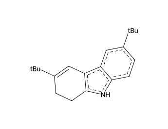 CC(C)(C)C1=Cc2c([nH]c3ccc(C(C)(C)C)cc23)CC1